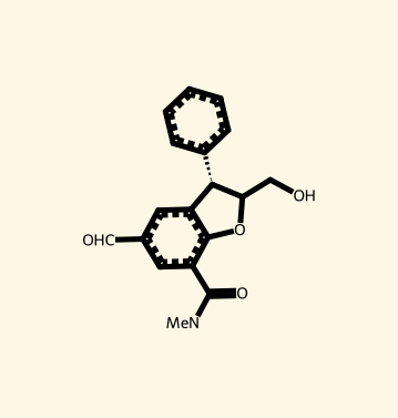 CNC(=O)c1cc(C=O)cc2c1OC(CO)[C@H]2c1ccccc1